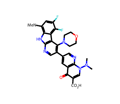 CNc1cc(F)c(F)c2c1[nH]c1ncc(-c3cnc4c(c3)c(=O)c(C(=O)O)cn4N(C)C)c(N3CCOCC3)c12